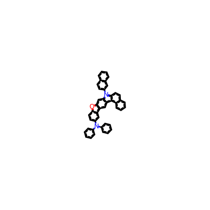 c1ccc(N(c2ccccc2)c2ccc3oc4cc5c(cc4c3c2)c2c3ccccc3ccc2n5-c2ccc3ccccc3c2)cc1